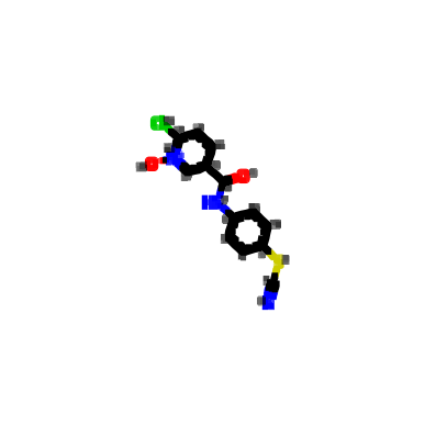 N#CSc1ccc(NC(=O)c2ccc(Cl)[n+]([O-])c2)cc1